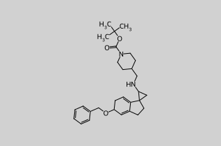 CC(C)(C)OC(=O)N1CCC(CNC2CC23CCC2=CC(OCc4ccccc4)CC=C23)CC1